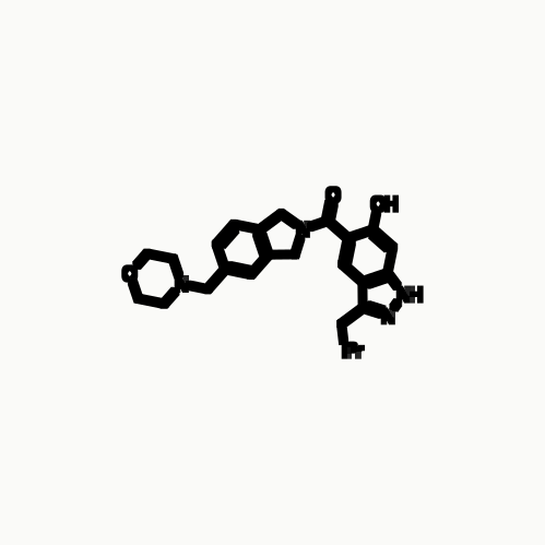 CC(C)Cc1n[nH]c2cc(O)c(C(=O)N3Cc4ccc(CN5CCOCC5)cc4C3)cc12